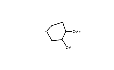 CC(=O)OC1C[CH]CCC1OC(C)=O